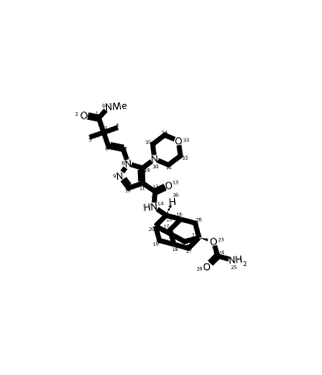 CNC(=O)C(C)(C)/C=C/n1ncc(C(=O)N[C@H]2C3CC4CC2C[C@](OC(N)=O)(C4)C3)c1N1CCOCC1